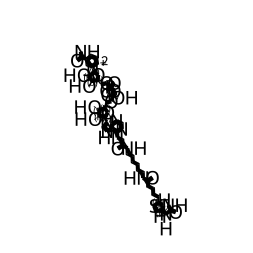 NC(=O)c1ccc[n+]([C@@H]2O[C@H](COP(=O)([O-])OP(=O)(O)OC[C@H]3O[C@@H](n4cnc5c(NCC(=O)NCCCCCCNC(=O)CCCC[C@@H]6SC[C@@H]7NC(=O)N[C@@H]76)ncnc54)[C@H](O)[C@@H]3O)[C@@H](O)[C@H]2O)c1